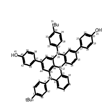 CC(C)(C)c1ccc(N2c3ccccc3B3c4ccc(-c5ccc(O)cc5)cc4N(c4ccc(C(C)(C)C)cc4)c4cc(-c5ccc(O)cc5)cc2c43)cc1